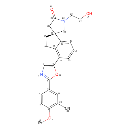 CC(C)Oc1ccc(-c2ncc(-c3cccc4c3CC[C@]43CC(=O)N(CCO)C3)o2)cc1C#N